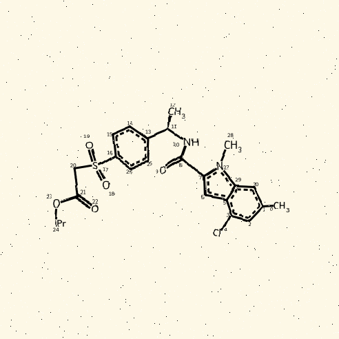 Cc1cc(Cl)c2cc(C(=O)N[C@H](C)c3ccc(S(=O)(=O)CC(=O)OC(C)C)cc3)n(C)c2c1